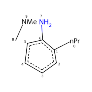 CCCc1ccccc1N.CNC